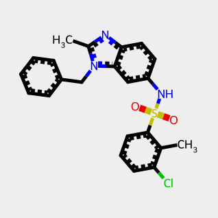 Cc1c(Cl)cccc1S(=O)(=O)Nc1ccc2nc(C)n(Cc3ccccc3)c2c1